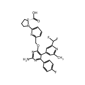 Cc1cc(-c2c(OCc3cccc(N4CCC[C@@H]4C(=O)O)n3)nc(N)nc2-c2ccc(F)cc2)cc(C(F)F)n1